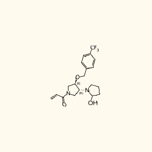 C=CC(=O)N1C[C@@H](N2CCCC2O)[C@H](OCc2ccc(C(F)(F)F)cc2)C1